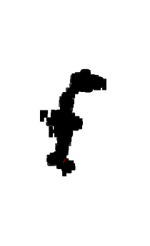 CC1(C)CCC(CN2CCN(c3ccc(C(=O)NS(=O)(=O)c4ccc(N[C@H](CCN5CCN(CCCCCNc6cccc7c6C(=O)N(C6CCC(=O)NC6=O)C7=O)CC5)CSc5ccccc5)c(S(=O)(=O)C(F)(F)F)c4)cc3)CC2)=C(C23CC(C(F)F)(C2)C3)C1